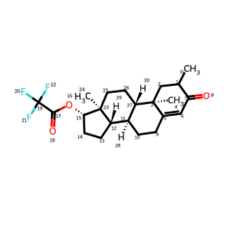 CC1C[C@@]2(C)C(=CC1=O)CC[C@H]1[C@@H]3CC[C@H](OC(=O)C(F)(F)F)[C@@]3(C)CC[C@@H]12